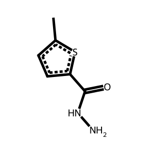 Cc1ccc(C(=O)NN)s1